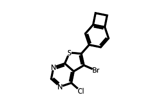 Clc1ncnc2sc(-c3ccc4c(c3)CC4)c(Br)c12